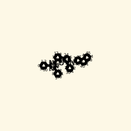 c1ccc(-c2nc(-c3ccccc3)nc(-c3cccc4c3oc3c4ccc4c3c3ccccc3n4-c3ccc4c(ccc5ccccc54)c3)n2)cc1